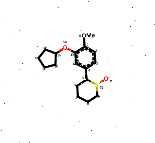 COc1ccc(C2CCCC[S+]2[O-])cc1OC1CCCC1